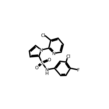 O=S(=O)(Nc1ccc(F)c(Cl)c1)c1cccn1-c1ncccc1Cl